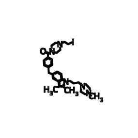 Cc1c(C)n(CCCN2CCN(C)CC2)c2ccc(Cc3ccc(C(=O)N4CCN(CCI)CC4)cc3)cc12